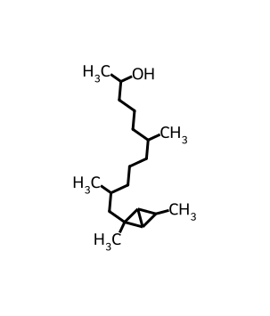 CC(O)CCCC(C)CCCC(C)CC1(C)C2C(C)C21